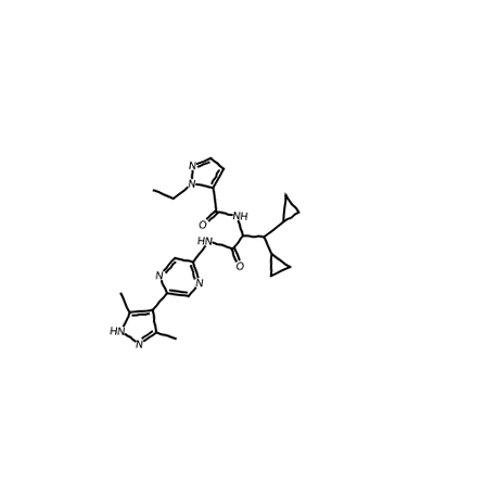 CCn1nccc1C(=O)NC(C(=O)Nc1cnc(-c2c(C)n[nH]c2C)cn1)C(C1CC1)C1CC1